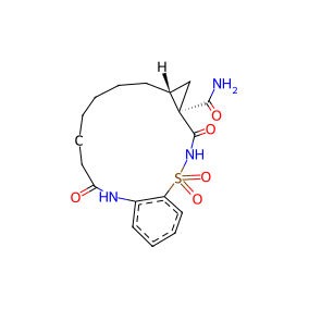 NC(=O)[C@@]12C[C@H]1CCCCCCC(=O)Nc1ccccc1S(=O)(=O)NC2=O